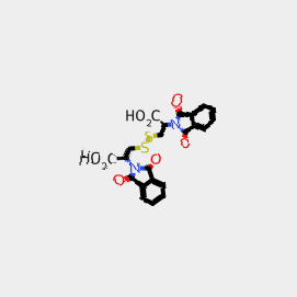 O=C(O)C(CSSC[C@@H](C(=O)O)N1C(=O)c2ccccc2C1=O)N1C(=O)c2ccccc2C1=O